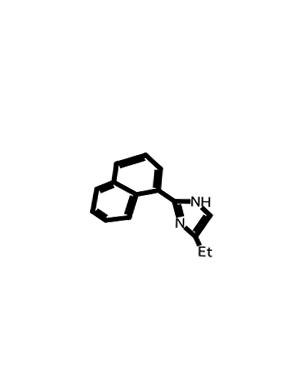 CCc1c[nH]c(-c2cccc3ccccc23)n1